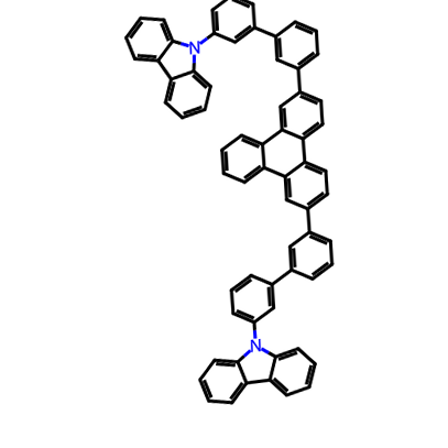 c1cc(-c2cccc(-n3c4ccccc4c4ccccc43)c2)cc(-c2ccc3c4ccc(-c5cccc(-c6cccc(-n7c8ccccc8c8ccccc87)c6)c5)cc4c4ccccc4c3c2)c1